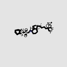 C[C@H](CCCC(CF)(CF)O[Si](C)(C)C)[C@H]1CC[C@H]2/C(=C/CS(=O)(=O)c3nc4ccccc4s3)CCC[C@]12C